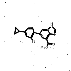 COC(=O)c1cc(-c2ccc(C3CC3)cc2Cl)cc2[nH]cnc12